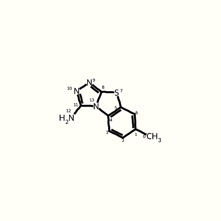 Cc1ccc2c(c1)sc1nnc(N)n12